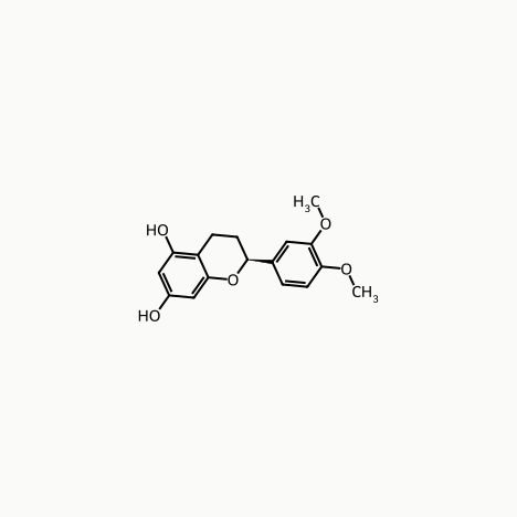 COc1ccc([C@@H]2CCc3c(O)cc(O)cc3O2)cc1OC